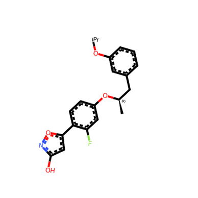 CC(C)Oc1cccc(C[C@@H](C)Oc2ccc(-c3cc(O)no3)c(F)c2)c1